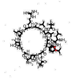 CC[C@H](C)[C@@H]1NC(=O)[C@@H](CCCNC(=N)N)NC(=O)[C@H](CC(C)C)NC(=O)[C@H]([C@H](OC(=O)C(F)(F)F)C(C)C)NC(=O)[C@@H](NC(=O)[C@H](CC(C)C)NC(=O)[C@@H](N)CC(C)C)[C@@H](c2ccccc2)OC(=O)[C@H](COC(=O)C(F)(F)F)NC(=O)[C@H]([C@H](O)C(N)=O)NC(=O)CNC(=O)[C@H]([C@H](C)O)NC1=O